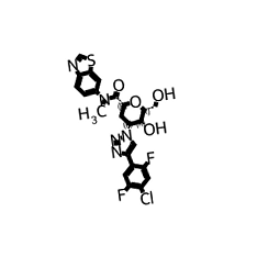 CN(C(=O)[C@H]1C[C@@H](n2cc(-c3cc(F)c(Cl)cc3F)nn2)[C@@H](O)[C@@H](CO)O1)c1ccc2ncsc2c1